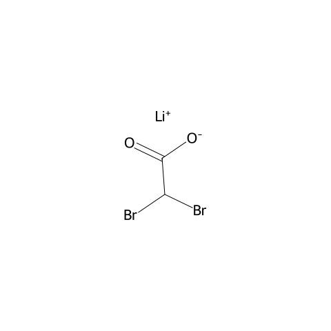 O=C([O-])C(Br)Br.[Li+]